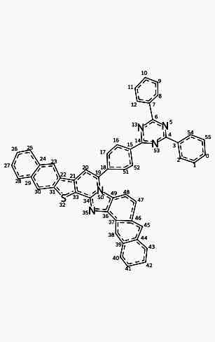 c1ccc(-c2nc(-c3ccccc3)nc(-c3ccc(-c4cc5c6cc7ccccc7cc6sc5c5nc6c7cc8ccccc8cc7ccc6n45)cc3)n2)cc1